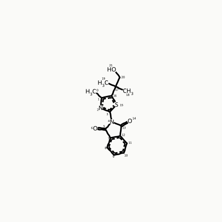 Cc1nc(N2C(=O)c3ccccc3C2=O)sc1C(C)(C)CO